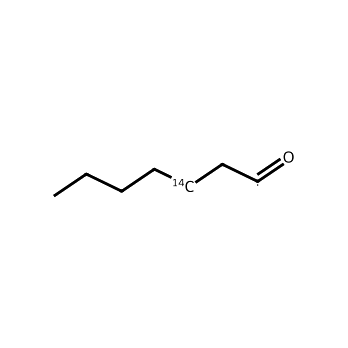 CCCC[14CH2]C[C]=O